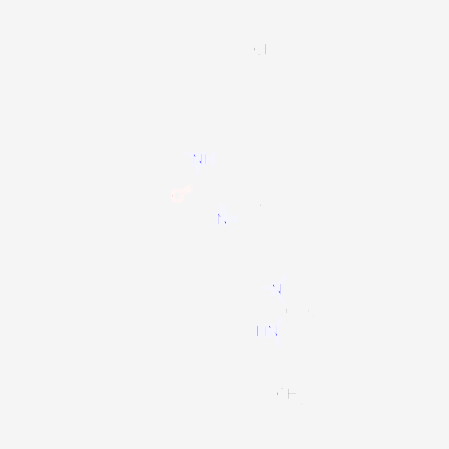 C=CCNC(=S)N1CCC(c2nc(C(=O)Nc3ccccc3-c3ccc(CC)cc3)cs2)CC1